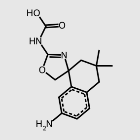 CC1(C)Cc2ccc(N)cc2C2(COC(NC(=O)O)=N2)C1